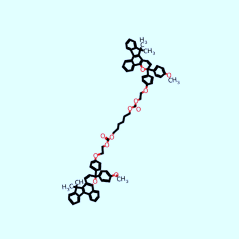 COc1ccc(C2(c3ccc(OCCOC(=O)OCCCCCCOC(=O)OCCOc4ccc(C5(c6ccc(OC)cc6)C=Cc6c7c(c8ccccc8c6O5)-c5ccccc5C7(C)C)cc4)cc3)C=Cc3c4c(c5ccccc5c3O2)-c2ccccc2C4(C)C)cc1